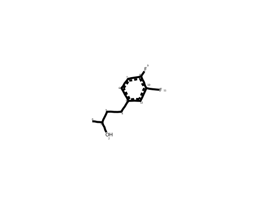 CC(O)C[CH]c1ccc(F)c(F)c1